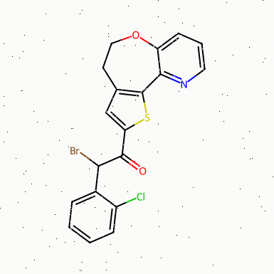 O=C(c1cc2c(s1)-c1ncccc1OCC2)C(Br)c1ccccc1Cl